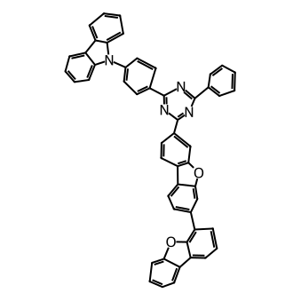 c1ccc(-c2nc(-c3ccc(-n4c5ccccc5c5ccccc54)cc3)nc(-c3ccc4c(c3)oc3cc(-c5cccc6c5oc5ccccc56)ccc34)n2)cc1